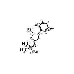 CCN1[CH][C@H](O[Si](C)(C)C(C)(C)C)CC1c1cc(F)ccc1F